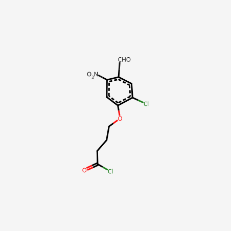 O=Cc1cc(Cl)c(OCCCC(=O)Cl)cc1[N+](=O)[O-]